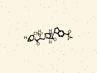 CN(C)C(=O)c1ccc2c(c1)CC[C@H]2N1C(=O)[C@@H]2C[C@H]1CN2C[C@H](N)C(=O)N1C2C[C@H]2C[C@H]1C#N